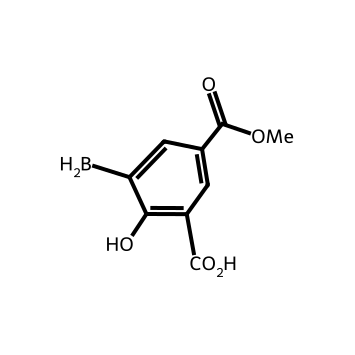 Bc1cc(C(=O)OC)cc(C(=O)O)c1O